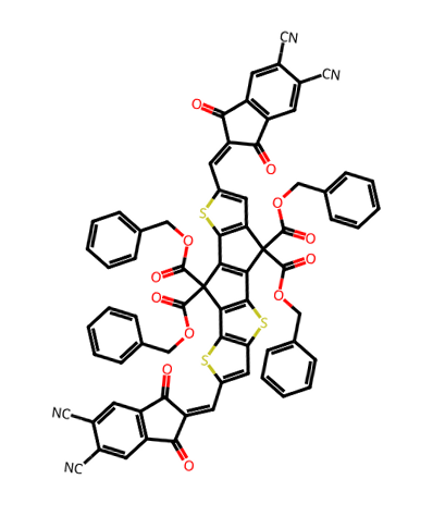 N#Cc1cc2c(cc1C#N)C(=O)C(=Cc1cc3c(s1)C1=C(c4sc5cc(C=C6C(=O)c7cc(C#N)c(C#N)cc7C6=O)sc5c4C1(C(=O)OCc1ccccc1)C(=O)OCc1ccccc1)C3(C(=O)OCc1ccccc1)C(=O)OCc1ccccc1)C2=O